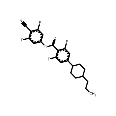 CCCC1CCC(c2cc(F)c(C(=O)Oc3cc(F)c(C#N)c(F)c3)c(F)c2)CC1